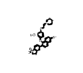 Cl.O=S1(=O)CCc2cc(-c3ccc4cc(O)ccc4c3Oc3ccc(OCCN4CCCCC4)cc3)ccc21